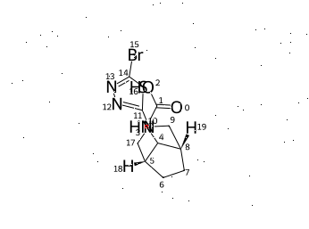 O=C(O)NC1[C@@H]2CC[C@H]1CN(c1nnc(Br)s1)C2